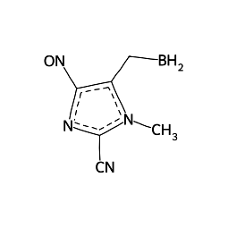 BCc1c(N=O)nc(C#N)n1C